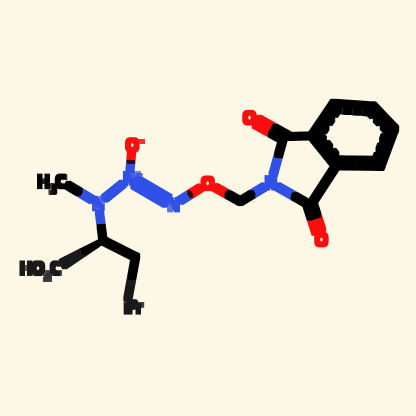 CC(C)C[C@@H](C(=O)O)N(C)/[N+]([O-])=N/OCN1C(=O)c2ccccc2C1=O